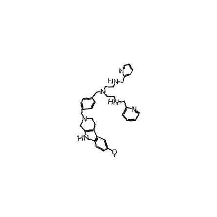 COc1ccc2[nH]c3c(c2c1)CCN(Cc1ccc(CN(CCNCc2ccccn2)CCNCc2ccccn2)cc1)C3